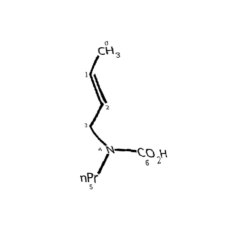 CC=CCN(CCC)C(=O)O